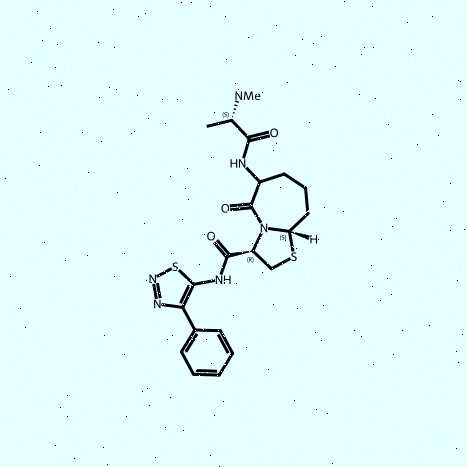 CN[C@@H](C)C(=O)NC1CCC[C@@H]2SC[C@@H](C(=O)Nc3snnc3-c3ccccc3)N2C1=O